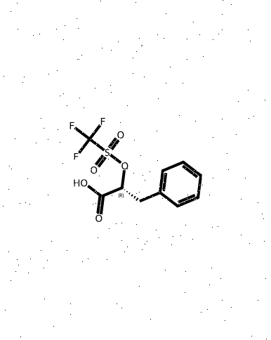 O=C(O)[C@@H](Cc1ccccc1)OS(=O)(=O)C(F)(F)F